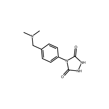 CN(C)Cc1ccc(-n2c(=O)[nH][nH]c2=O)cc1